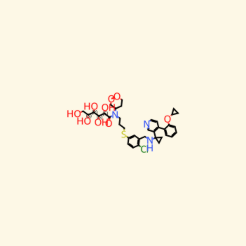 O=C([C@@H](O)[C@@H](O)[C@H](O)[C@@H](O)CO)N(CCCSc1ccc(Cl)c(CNC2(c3cnccc3-c3ccccc3OC3CC3)CC2)c1)C1CCOOC1